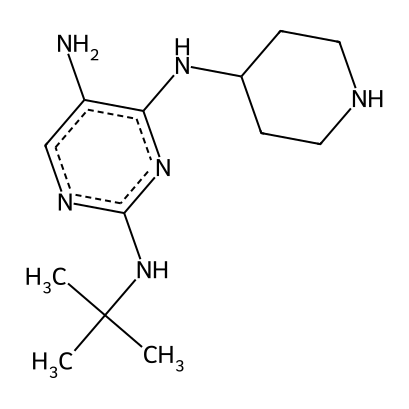 CC(C)(C)Nc1ncc(N)c(NC2CCNCC2)n1